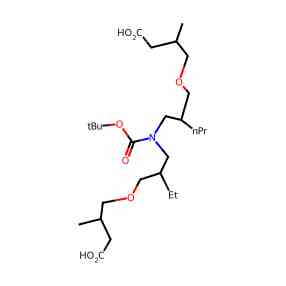 CCCC(COCC(C)CC(=O)O)CN(CC(CC)COCC(C)CC(=O)O)C(=O)OC(C)(C)C